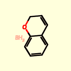 B.C1=Cc2ccccc2OC1